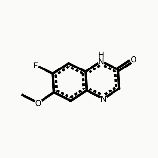 COc1cc2ncc(=O)[nH]c2cc1F